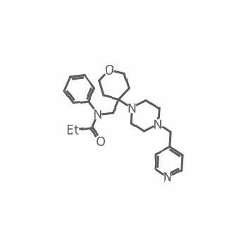 CCC(=O)N(CC1(N2CCN(Cc3ccncc3)CC2)CCOCC1)c1ccccc1